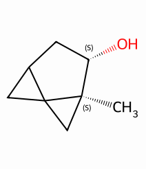 C[C@]12CC13CC3C[C@@H]2O